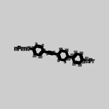 CCCCCc1ccc(C#CC2=CCC(c3ccc(CCC)cc3)CC2)cc1